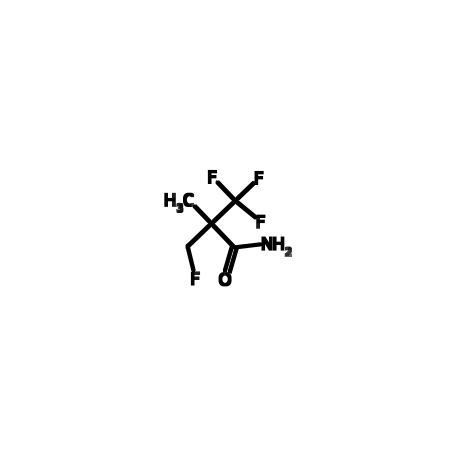 CC(CF)(C(N)=O)C(F)(F)F